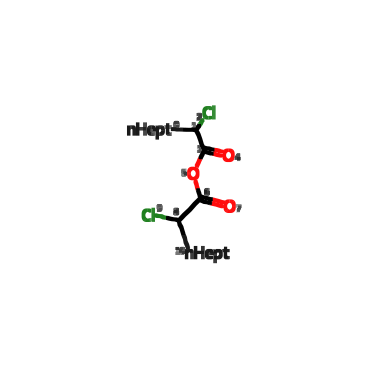 CCCCCCCC(Cl)C(=O)OC(=O)C(Cl)CCCCCCC